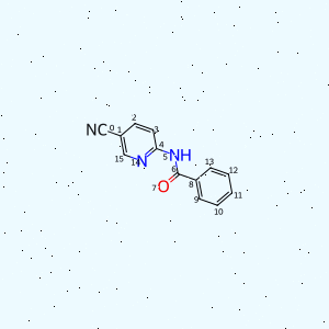 N#Cc1ccc(NC(=O)c2ccccc2)nc1